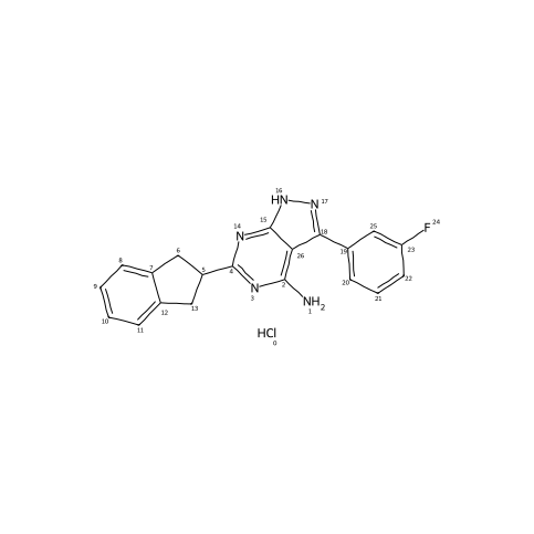 Cl.Nc1nc(C2Cc3ccccc3C2)nc2[nH]nc(-c3cccc(F)c3)c12